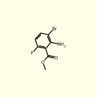 COC(=O)c1c(F)ccc(Br)c1N